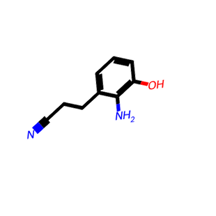 N#CCCc1cccc(O)c1N